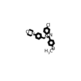 COc1ccc(-c2nc3cc(Cl)ccc3n2Cc2ccc(N3CCOCC3)cc2)cc1